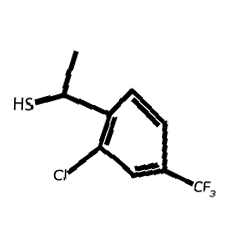 CC(S)c1ccc(C(F)(F)F)cc1Cl